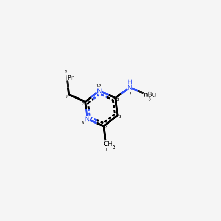 CCCCNc1cc(C)nc(CC(C)C)n1